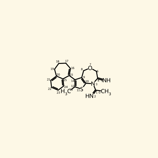 CC(=N)N1C(=N)COCc2c1sc(C)c2C1=CCCCc2ccccc21